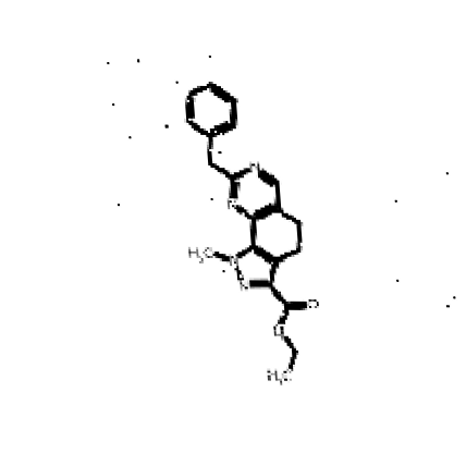 CCOC(=O)c1nn(C)c2c1CCc1cnc(Cc3ccccc3)nc1-2